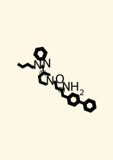 CCCCn1c([C@@H]2CCCN(C(=O)C[C@H](N)Cc3ccc(-c4ccccc4)cc3)C2)nc2ccccc21